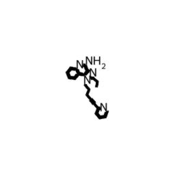 CCc1nc2c(N)nc3ccccc3c2n1CCCC#Cc1ccccn1